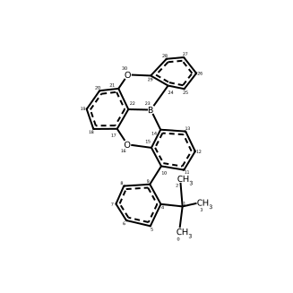 CC(C)(C)c1ccccc1-c1cccc2c1Oc1cccc3c1B2c1ccccc1O3